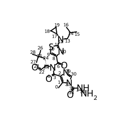 Cc1c(C(=O)N(C(=O)c2csc(N(CC(C)C)C3CC3)n2)[C@H]([C]=O)CC(C)(C)C)ncn1C(=O)NN